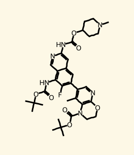 Cc1c(-c2cc3cc(NC(=O)OC4CCN(C)CC4)ncc3c(NC(=O)OC(C)(C)C)c2F)cnc2c1N(C(=O)OC(C)(C)C)CCO2